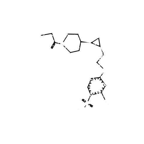 CC(C)(C)CC(=O)N1CCC([C@H]2C[C@H]2CCOc2ccc(S(C)(=O)=O)c(F)c2)CC1